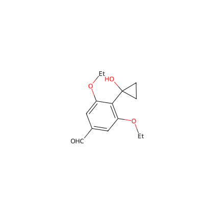 CCOc1cc(C=O)cc(OCC)c1C1(O)CC1